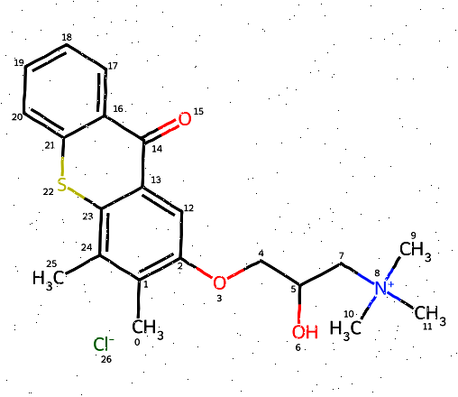 Cc1c(OCC(O)C[N+](C)(C)C)cc2c(=O)c3ccccc3sc2c1C.[Cl-]